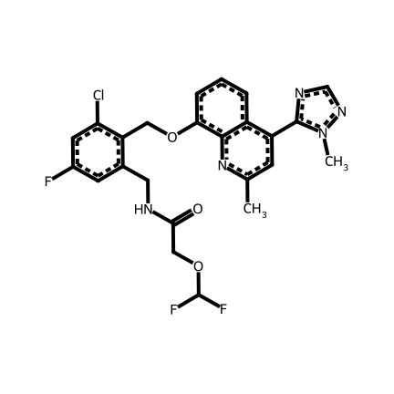 Cc1cc(-c2ncnn2C)c2cccc(OCc3c(Cl)cc(F)cc3CNC(=O)COC(F)F)c2n1